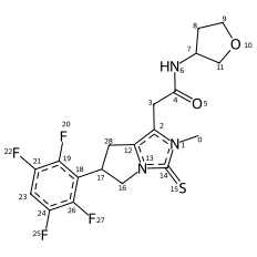 Cn1c(CC(=O)NC2CCOC2)c2n(c1=S)CC(c1c(F)c(F)cc(F)c1F)C2